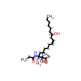 CCCCCC[C@@H](O)C/C=C\CCCCCC(C)(NC(=O)CC)C(C)(C)C(=O)O